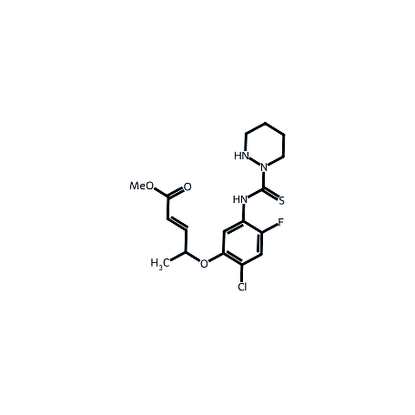 COC(=O)C=CC(C)Oc1cc(NC(=S)N2CCCCN2)c(F)cc1Cl